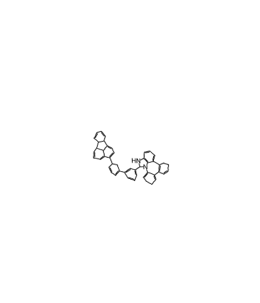 C1=CC(C2=CC=C3C4C=CC=CC4C4C=CC=C2C34)CC(c2cccc(C3Nc4cccc5c4N3C3=CCCC=C3C3=C5CCC=C3)c2)=C1